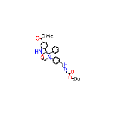 COC(=O)c1ccc2c(c1)NC(=O)/C2=C(/c1ccccc1)N(C(C)=O)c1ccc(CCNCC(=O)OC(C)(C)C)cc1